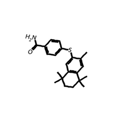 Cc1cc2c(cc1Sc1ccc(C(N)=O)cc1)C(C)(C)CCC2(C)C